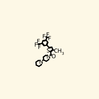 Cc1cc(-c2cc(C(F)(F)F)cc(C(F)(F)F)c2)sc1C(=O)N1CCC(N2CCCCC2)CC1